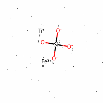 [Fe+3].[O-][Si]([O-])([O-])[O-].[Ti+]